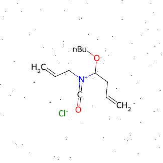 C=CCC(OCCCC)[N+](=C=O)CC=C.[Cl-]